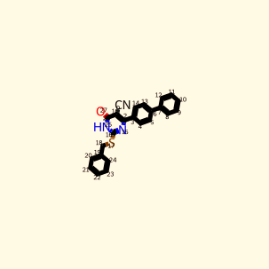 N#Cc1c(-c2ccc(-c3ccccc3)cc2)nc(SCc2ccccc2)[nH]c1=O